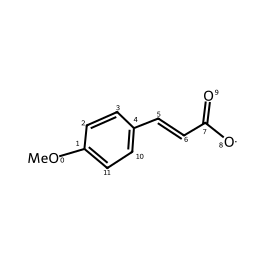 COc1ccc(C=CC([O])=O)cc1